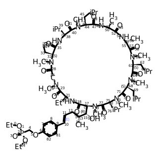 CCOP(=O)(COc1ccc(/C=C/C[C@@H](C)[C@@H](O)[C@H]2C(=O)N[C@@H](CC)C(=O)N(C)CC(=O)N(C)[C@@H](CC(C)C)C(=O)N[C@@H](C(C)C)C(=O)N(C)[C@@H](CC(C)C)C(=O)N[C@@H](C)C(=O)N[C@H](C)C(=O)N(C)[C@@H](CC(C)C)C(=O)N(C)[C@@H](CC(C)C)C(=O)N(C)[C@@H](C(C)C)C(=O)N2C)cc1)OCC